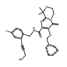 C=C1C(OCc2ccccc2)=C(C(=O)NCc2ccc(F)cc2C#CCO)N=C2N1CCOC2(C)C